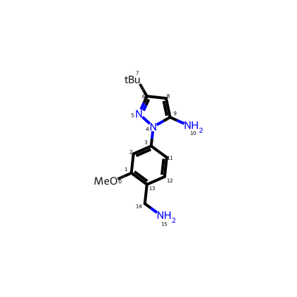 COc1cc(-n2nc(C(C)(C)C)cc2N)ccc1CN